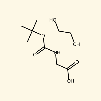 CC(C)(C)OC(=O)NCC(=O)O.OCCO